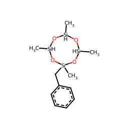 C[SiH]1O[SiH](C)O[Si](C)(Cc2ccccc2)O[SiH](C)O1